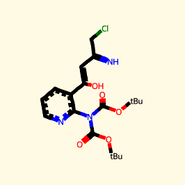 CC(C)(C)OC(=O)N(C(=O)OC(C)(C)C)c1ncccc1/C(O)=C/C(=N)CCl